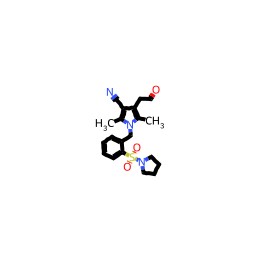 Cc1c(C#N)c(CC=O)c(C)n1Cc1ccccc1S(=O)(=O)N1CCCC1